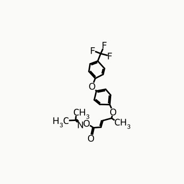 CC(C)=NOC(=O)C=CC(C)Oc1ccc(Oc2ccc(C(F)(F)F)cc2)cc1